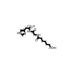 CCCCCCCCCCCCCCCC(=O)NCC(=O)NC(Cc1c[nH]cn1)C(=O)O